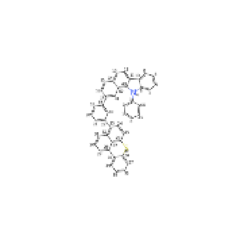 c1ccc(-n2c3ccccc3c3ccc4ccc(-c5cccc(-c6ccc7c8c(cccc68)-c6ccccc6S7)c5)cc4c32)cc1